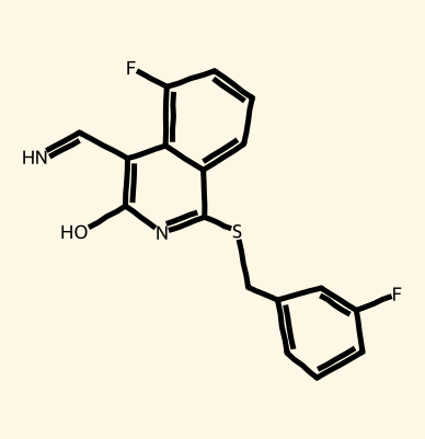 N=Cc1c(O)nc(SCc2cccc(F)c2)c2cccc(F)c12